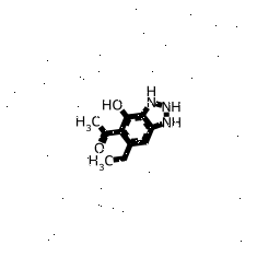 CCc1cc2c(c(O)c1C(C)=O)NNN2